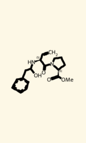 C=C[C@H](NC(O)Cc1ccccc1)C(=O)N1CCC[C@H]1C(=O)OC